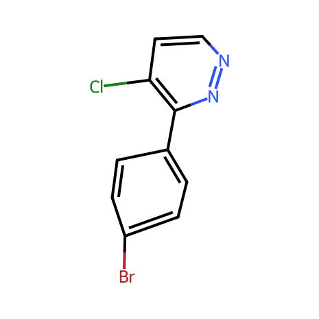 Clc1ccnnc1-c1ccc(Br)cc1